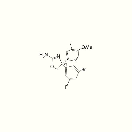 COc1ccc([C@]2(c3cc(F)cc(Br)c3)COC(N)=N2)cc1C